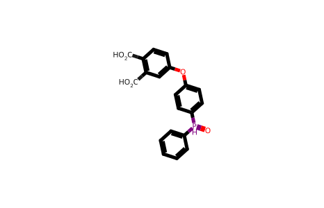 O=C(O)c1ccc(Oc2ccc([PH](=O)c3ccccc3)cc2)cc1C(=O)O